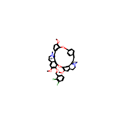 COc1ccc2cc1Oc1ccc(cc1)CC[C@H]1c3cc(c(OC)cc3CCN1C)Oc1c(OCc3cccc(F)c3F)c(OC)cc3c1[C@H](C2)N(C)CC3